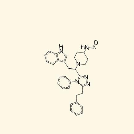 O=[C]NC1CCN([C@H](Cc2c[nH]c3ccccc23)c2nnc(CCc3ccccc3)n2-c2ccccc2)CC1